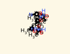 CCc1c(Oc2cc(C)cc(C)c2)[nH]c(=O)[nH]c1=O.CCc1c(Oc2cc(C)cc(C)c2)n(Cc2cccc(C#N)c2)c(=O)[nH]c1=O